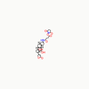 C[C@]12CC[C@H](NC(=O)CCC(=O)ON3C(=O)CCC3=O)C[C@H]1CC[C@@H]1[C@H]2C[C@@H](O)[C@]2(C)[C@@H](C3=CC(=O)OC3)CC[C@]12O